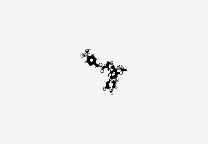 CC(=O)OC(c1cn2c(n1)CN(C)C(=O)C2)C1(Br)C(=O)N2C(C(=O)OCc3ccc([N+](=O)[O-])cc3)=CSC21